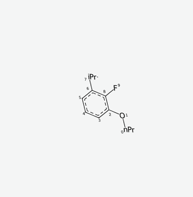 CCCOc1cccc([C](C)C)c1F